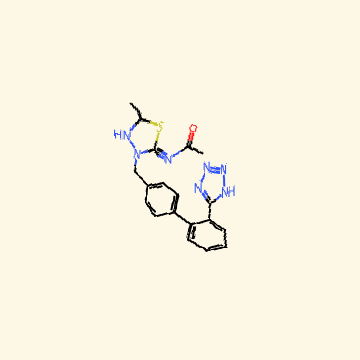 CC(=O)N=C1SC(C)NN1Cc1ccc(-c2ccccc2-c2nnn[nH]2)cc1